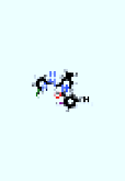 Cc1ccc(I)c(C(=O)N2CCC3(CC3)CC2CNc2cccc(Cl)n2)c1